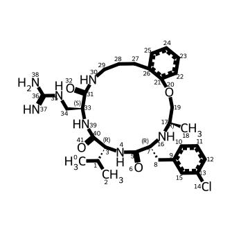 CC(C)[C@H]1NC(=O)[C@@H](Cc2cccc(Cl)c2)N[C@H](C)COc2ccccc2CCCNC(=O)[C@H](CNC(=N)N)NC1=O